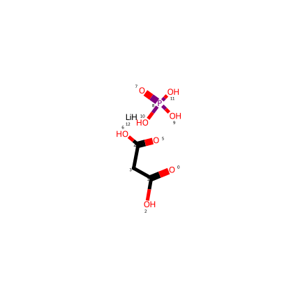 O=C(O)CC(=O)O.O=P(O)(O)O.[LiH]